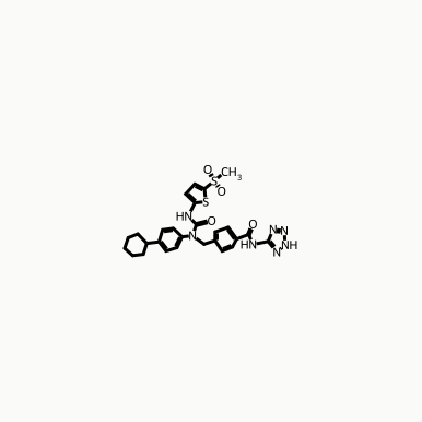 CS(=O)(=O)c1ccc(NC(=O)N(Cc2ccc(C(=O)Nc3nn[nH]n3)cc2)c2ccc(C3CCCCC3)cc2)s1